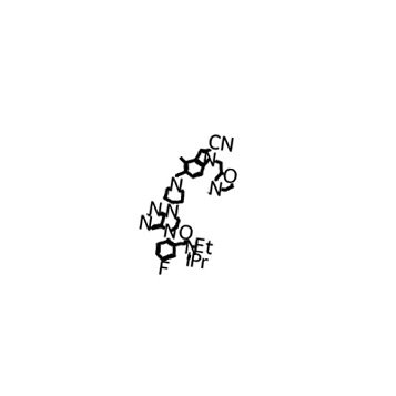 CCN(C(=O)c1cc(F)ccc1N1CCN(C2CCN(Cc3ccc4c(cc(C#N)n4CC4CN(C)CCO4)c3C)CC2)c2ncncc21)C(C)C